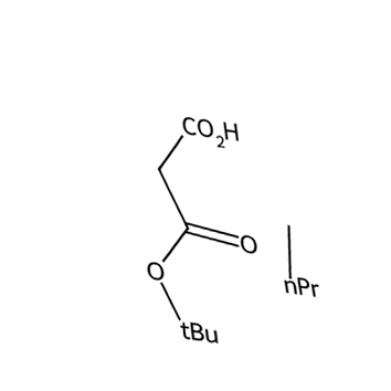 CC(C)(C)OC(=O)CC(=O)O.CCCC